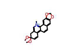 COC1(OC)C=Cc2c(c[n+](C)c3c2ccc2cc4c(cc23)OCO4)C1